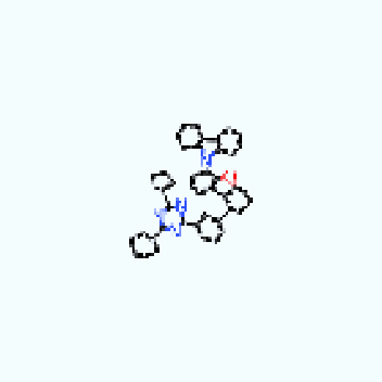 C1=CCC(c2nc(-c3ccccc3)nc(-c3cccc(-c4cccc5oc6c(-n7c8ccccc8c8ccccc87)cccc6c45)c3)n2)=C1